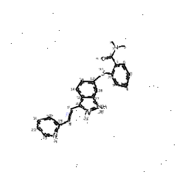 CN(C)C(=O)c1ccccc1Sc1ccc2c(/C=C/c3ccccn3)n[nH]c2c1